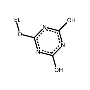 CCOc1nc(O)nc(O)n1